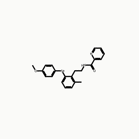 COc1ccc([Se]c2cccc(C)c2CCNC(=O)c2ccccn2)cc1